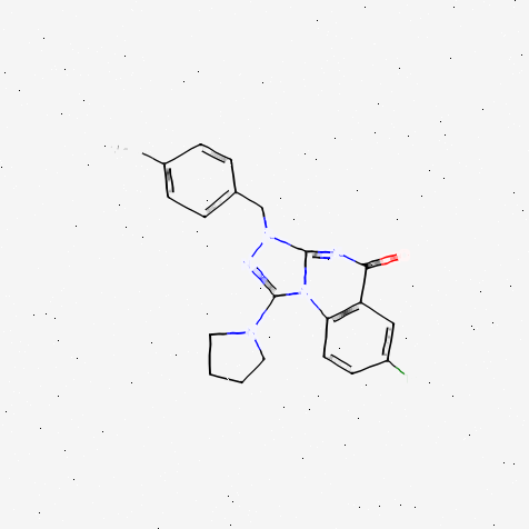 COc1ccc(Cn2nc(N3CCCC3)n3c4ccc(Br)cc4c(=O)nc23)cc1